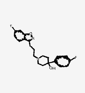 OC1(c2ccc(F)cc2)CCN(CCCc2noc3cc(F)ccc23)CC1